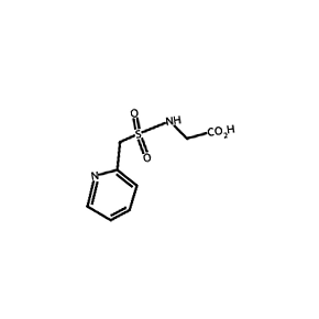 O=C(O)CNS(=O)(=O)Cc1ccccn1